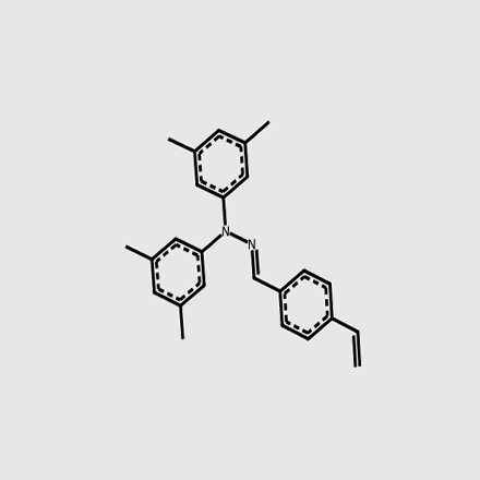 C=Cc1ccc(C=NN(c2cc(C)cc(C)c2)c2cc(C)cc(C)c2)cc1